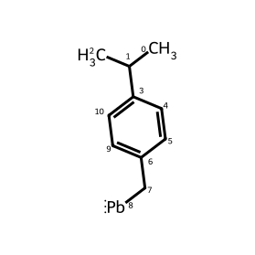 CC(C)c1ccc([CH2][Pb])cc1